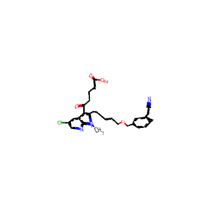 Cn1c(CCCCOCc2cccc(C#N)c2)c(C(=O)CCCC(=O)O)c2cc(Cl)cnc21